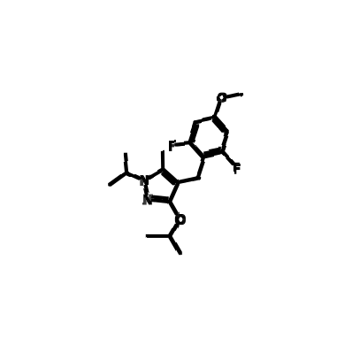 COc1cc(F)c(Cc2c(OC(C)C)nn(C(C)C)c2C)c(F)c1